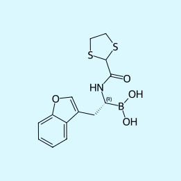 O=C(N[C@@H](Cc1coc2ccccc12)B(O)O)C1SCCS1